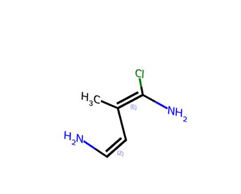 CC(/C=C\N)=C(/N)Cl